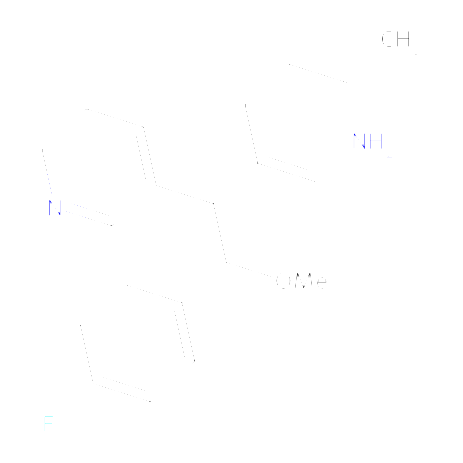 C=C/C=C\C(=C/N)C(c1cccnc1)C(OC)c1ccc(F)cc1